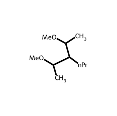 CCCC(C(C)OC)C(C)OC